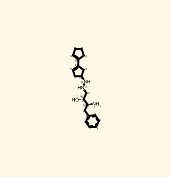 N[C@@H](Cc1ccccc1)[C@H](O)CNNC1CC=C(C2=CCCC2)C1